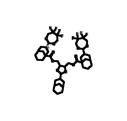 O=C(OCC1OC(C2CC3CCCC(C3)C2)OC1COC(=O)C12CCCC(C[C@H](C3OCC(F)(F)C(F)(F)CO3)C1)C2)C12CCCC(CC(C3OCC(F)(F)C(F)(F)CO3)C1)C2